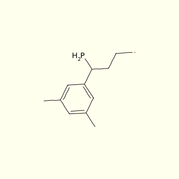 [CH2]CCC(P)c1cc(C)cc(C)c1